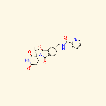 C[C@]1(N2C(=O)c3ccc(CNC(=O)c4ccccn4)cc3C2=O)CCC(=O)NC1=O